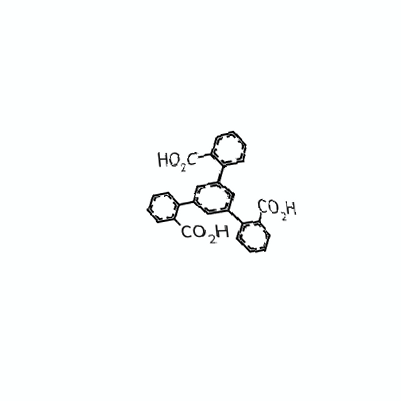 O=C(O)c1ccccc1-c1cc(-c2ccccc2C(=O)O)cc(-c2ccccc2C(=O)O)c1